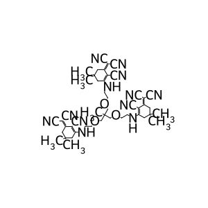 CC1(C)CC(NCCOCC(C)(COCCNC2=C(C#N)C(=C(C#N)C#N)CC(C)(C)C2)COCCNC2=C(C#N)C(=C(C#N)C#N)CC(C)(C)C2)=C(C#N)C(=C(C#N)C#N)C1